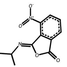 CC(C)N=C1OC(=O)c2cccc([N+](=O)[O-])c21